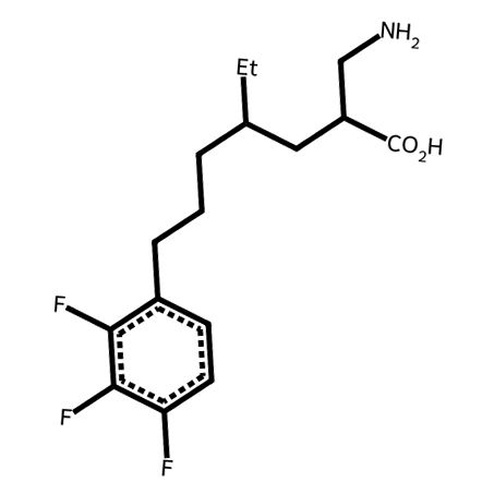 CCC(CCCc1ccc(F)c(F)c1F)CC(CN)C(=O)O